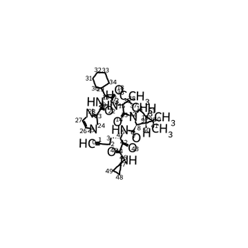 C#CCC[C@H](NC(=O)[C@@H]1[C@@H]2[C@H](CN1C(=O)[C@@H](NC(=O)[C@@H](NC(=O)c1cnccn1)C1CCCCC1)C(C)(C)C)C2(C)C)C(=O)C(=O)NC1CC1